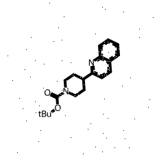 CC(C)(C)OC(=O)N1CCC(c2ccc3ccccc3n2)CC1